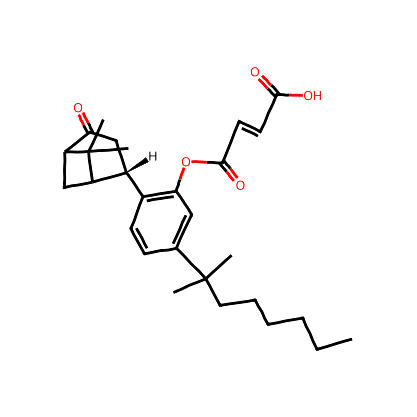 CCCCCCC(C)(C)c1ccc([C@H]2CC(=O)C3CC2C3(C)C)c(OC(=O)/C=C/C(=O)O)c1